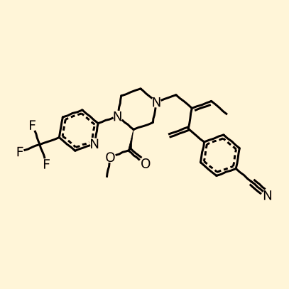 C=C(/C(=C\C)CN1CCN(c2ccc(C(F)(F)F)cn2)[C@H](C(=O)OC)C1)c1ccc(C#N)cc1